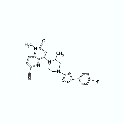 CC1CN(c2nc(-c3ccc(F)cc3)cs2)CCN1c1cc(=O)n(C)c2ccc(C#N)nc12